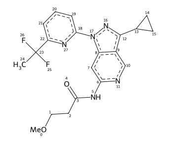 COCCC(=O)Nc1cc2c(cn1)c(C1CC1)nn2-c1cccc(C(C)(F)F)n1